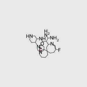 NC(N)C(C(=O)NC1CNCCC1N1CCN2CCC1CC2)C1CC2(CCCCCC2)CCC(F)=C=N1